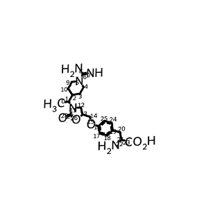 CC(C1CCN(C(=N)N)CC1)N1CC(COc2ccc(CC(N)C(=O)O)cc2)OC1=O